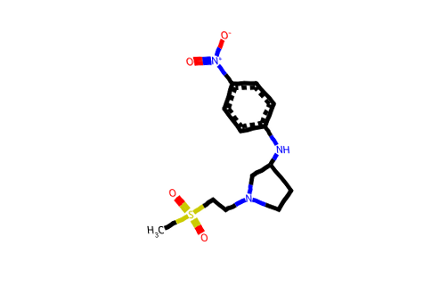 CS(=O)(=O)CCN1CCC(Nc2ccc([N+](=O)[O-])cc2)C1